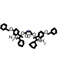 CC(OC(=O)/C=C\C(=O)OC(C)(c1ccc(OCc2ccccc2)cc1)C(N)c1ccccc1)(c1ccc(OCc2ccccc2)cc1)C(N)c1ccccc1